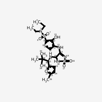 CCN(CC)S(=O)(=O)c1scc(NC2=NS(=O)(=O)NC2N[C@@H](c2ccc(C)o2)C(C)(C)C)c1O